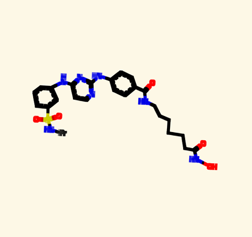 CC(C)NS(=O)(=O)c1cccc(Nc2ccnc(Nc3ccc(C(=O)NCCCCCCC(=O)NO)cc3)n2)c1